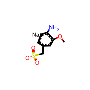 COc1cc(CS(=O)(=O)[O-])ccc1N.[Na+]